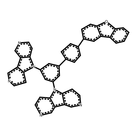 c1ccc2c(c1)oc1ccc(-c3ccc(-c4cc(-n5c6ccncc6c6cnccc65)cc(-n5c6ccncc6c6cnccc65)c4)cc3)cc12